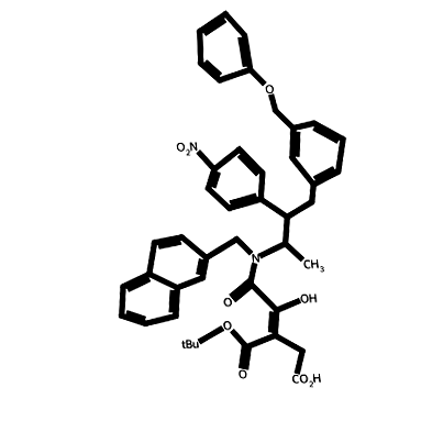 CC(C(Cc1cccc(COc2ccccc2)c1)c1ccc([N+](=O)[O-])cc1)N(Cc1ccc2ccccc2c1)C(=O)C(O)=C(CC(=O)O)C(=O)OC(C)(C)C